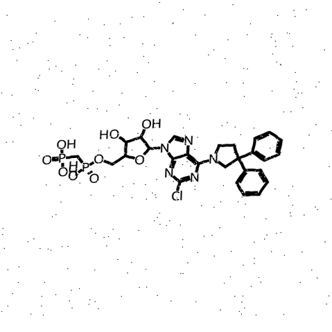 O=P(O)(O)CP(=O)(O)OCC1OC(n2cnc3c(N4CCC(c5ccccc5)(c5ccccc5)C4)nc(Cl)nc32)C(O)C1O